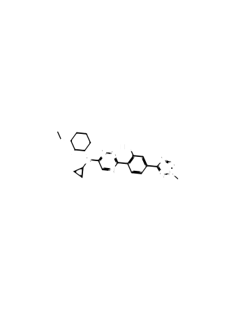 CC[C@@H]1CCC[C@H](N(c2cnc(-c3ccc(-c4nnn(C)n4)cc3O)nn2)C2CC2)[C@@H]1F